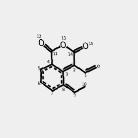 C=CC1=c2c(ccc/c2=C/C)C(=O)OC1=O